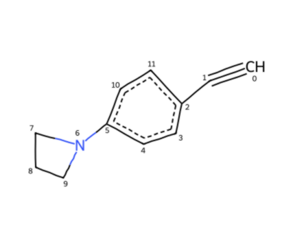 C#Cc1ccc(N2CCC2)cc1